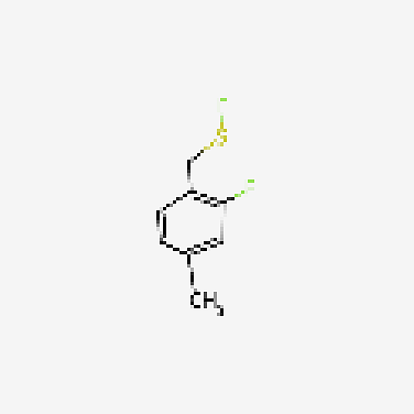 Cc1ccc(CSF)c(F)c1